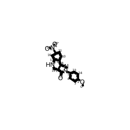 COc1ccc(-n2nc3c4ccc([N+](=O)[O-])cc4[nH]cc-3c2=O)cc1